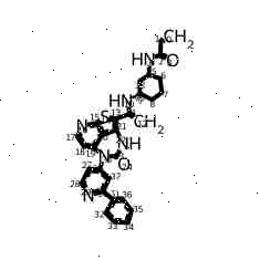 C=CC(=O)NC1CCC[C@@H](NC(=C)c2sc3nccc4c3c2NC(=O)N4c2ccnc(-c3ccccc3)c2)C1